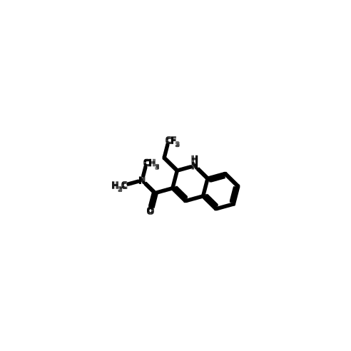 CN(C)C(=O)C1=Cc2ccccc2NC1CC(F)(F)F